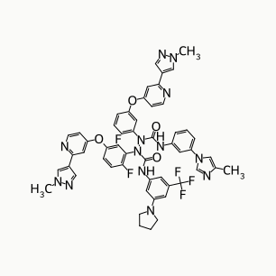 Cc1cn(-c2cccc(NC(=O)N(c3cc(Oc4ccnc(-c5cnn(C)c5)c4)ccc3F)N(C(=O)Nc3cc(N4CCCC4)cc(C(F)(F)F)c3)c3cc(Oc4ccnc(-c5cnn(C)c5)c4)ccc3F)c2)cn1